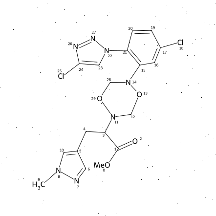 COC(=O)C(Cc1cnn(C)c1)N1CON(c2cc(Cl)ccc2-n2cc(Cl)nn2)CO1